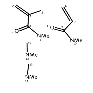 C=C(C)C(=O)NC.C=CC(=O)NC.CNC.CNC